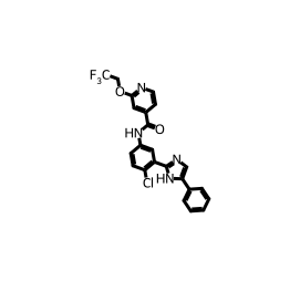 O=C(Nc1ccc(Cl)c(-c2ncc(-c3ccccc3)[nH]2)c1)c1ccnc(OCC(F)(F)F)c1